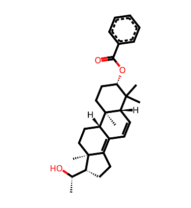 C[C@H](O)[C@H]1CCC2=C3C=C[C@H]4C(C)(C)[C@@H](OC(=O)c5ccccc5)CC[C@]4(C)[C@H]3CC[C@@]21C